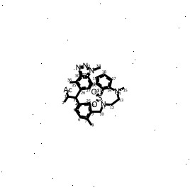 CC(=O)C(C)C(c1ccc(C)c(CN2CCN(C)c3ccccc3S2(=O)=O)c1)c1ccc2c(nnn2C)c1C